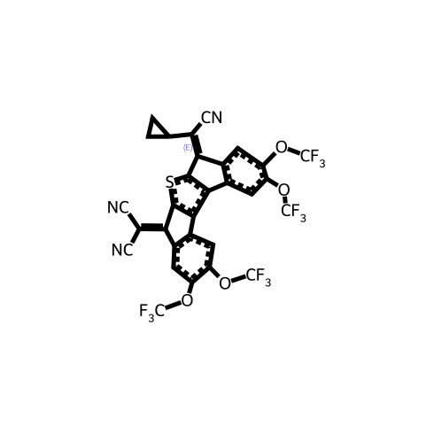 N#CC(C#N)=C1c2cc(OC(F)(F)F)c(OC(F)(F)F)cc2-c2c1sc1c2-c2cc(OC(F)(F)F)c(OC(F)(F)F)cc2/C1=C(\C#N)C1CC1